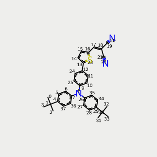 CC(C)(C)c1ccc(N(c2ccc(-c3ccc(C=C(C#N)C#N)s3)cc2)c2ccc(C(C)(C)C)cc2)cc1